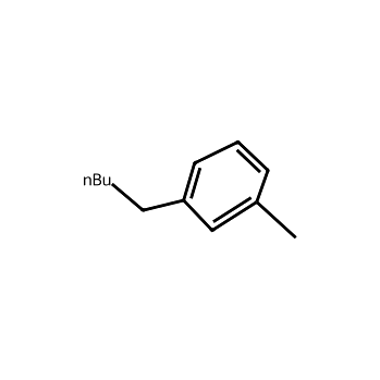 CC[CH]CCc1cccc(C)c1